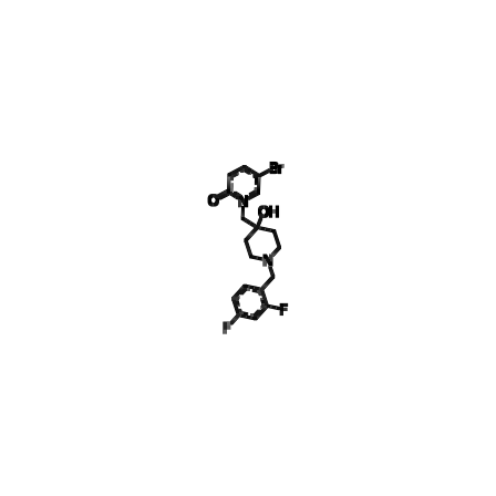 O=c1ccc(Br)cn1CC1(O)CCN(Cc2ccc(F)cc2F)CC1